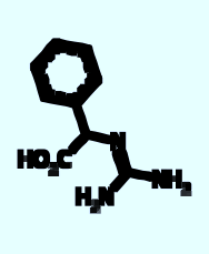 NC(N)=NC(C(=O)O)c1ccccc1